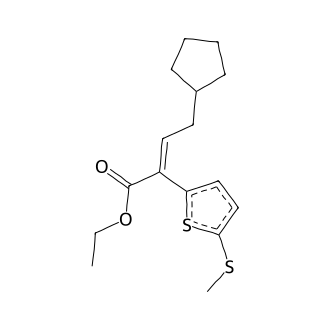 CCOC(=O)C(=CCC1CCCC1)c1ccc(SC)s1